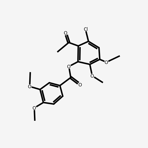 COc1ccc(C(=O)Oc2c(OC)c(OC)cc(Cl)c2C(C)=O)cc1OC